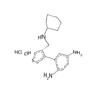 Cl.Cl.Nc1ccc(N)c(-c2cscc2CNC2CCCCC2)c1